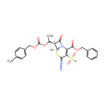 CS(=O)(=O)C1=C(C(=O)OCc2ccccc2)N2C(=O)[C@H](C(C=O)OC(=O)OCc3ccc([N+](=O)[O-])cc3)[C@@H]2SC1=[N+]=[N-]